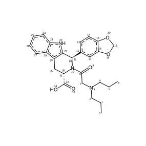 CCCN(CCC)CC(=O)N1[C@H](c2ccc3c(c2)OCO3)c2[nH]c3ccccc3c2C[C@H]1C(=O)O